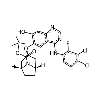 CC(C)(C)OC(=O)N1[C@@H]2CC[C@H]1C[C@H](Oc1cc3c(Nc4ccc(Cl)c(Cl)c4F)ncnc3cc1O)C2